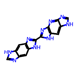 c1nc2cc3[nH]c(-c4nc5nc6nc[nH]c6cc5[nH]4)nc3cc2[nH]1